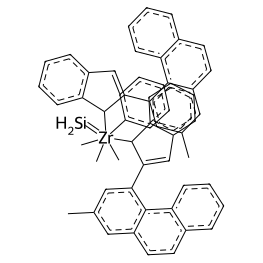 Cc1cc(C2=Cc3ccccc3[CH]2[Zr]([CH3])([CH3])([CH3])(=[SiH2])([c]2ccccc2)[CH]2C(c3cc(C)cc4ccc5ccccc5c34)=Cc3ccccc32)c2c(ccc3ccccc32)c1